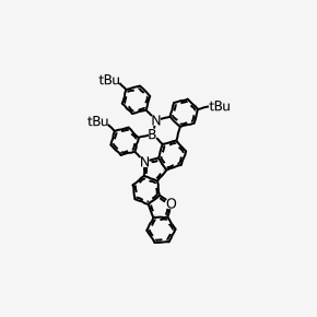 CC(C)(C)c1ccc(N2B3c4cc(C(C)(C)C)ccc4-n4c5ccc6c7ccccc7oc6c5c5ccc(c3c54)-c3cc(C(C)(C)C)ccc32)cc1